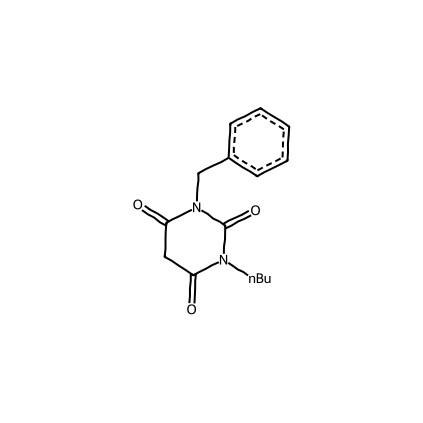 CCCCN1C(=O)CC(=O)N(Cc2ccccc2)C1=O